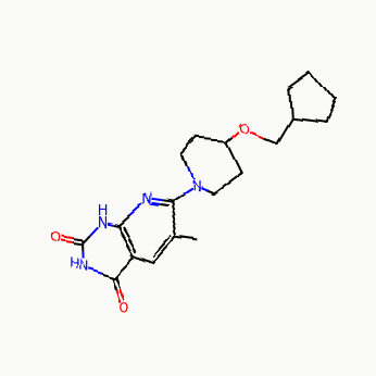 Cc1cc2c(=O)[nH]c(=O)[nH]c2nc1N1CCC(OCC2CCCC2)CC1